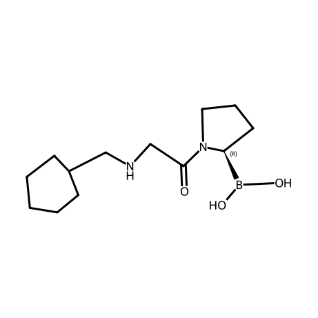 O=C(CNCC1CCCCC1)N1CCC[C@H]1B(O)O